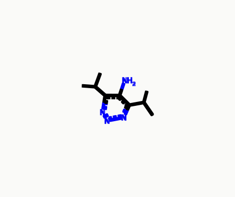 CC(C)c1nnnc(C(C)C)c1N